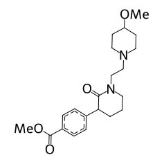 COC(=O)c1ccc(C2CCCN(CCN3CCC(OC)CC3)C2=O)cc1